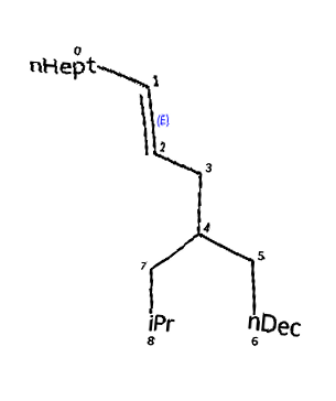 [CH2]CCCCCC/C=C/CC(CCCCCCCCCC[CH2])CC(C)C